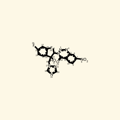 CC(n1nnc2cc([N+](=O)[O-])ccc2c1=O)C(O)(Cn1cncn1)c1ccc(F)cc1F